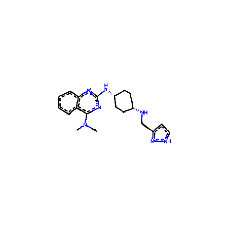 CN(C)c1nc(N[C@H]2CC[C@@H](NCc3cc[nH]n3)CC2)nc2ccccc12